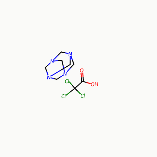 C1N2CN3CN1CN(C2)C3.O=C(O)C(Cl)(Cl)Cl